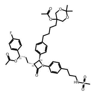 CC(=O)O[C@@H](CC[C@H]1C(=O)N(c2ccc(CCCNS(C)(=O)=O)cc2)[C@@H]1c1ccc(CCCCC2(OC(C)=O)COC(C)(C)OC2)cc1)c1ccc(F)cc1